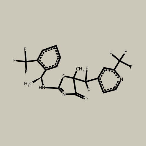 C[C@H](NC1=NC(=O)C(C)(C(F)(F)c2ccnc(C(F)(F)F)c2)S1)c1ccccc1C(F)(F)F